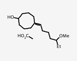 CC(=O)O.CCC(CCCC=C1CCCC(O)CCC1)OC